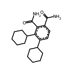 NC(=O)c1ccc(C2CCCCC2)c(C2CCCCC2)c1C(N)=O